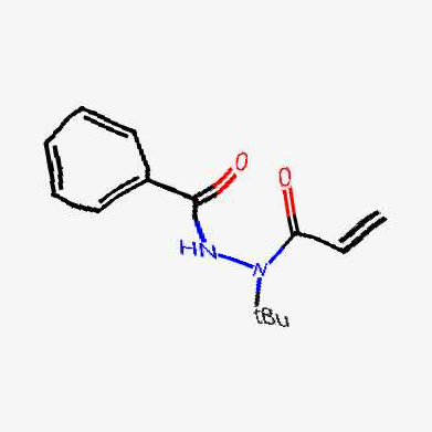 C=CC(=O)N(NC(=O)c1ccccc1)C(C)(C)C